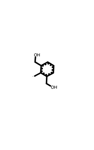 [CH2]c1c(CO)cccc1CO